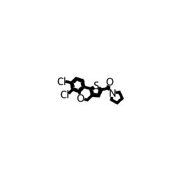 O=C(c1cc2c(s1)-c1ccc(Cl)c(Cl)c1OC2)N1CCCC1